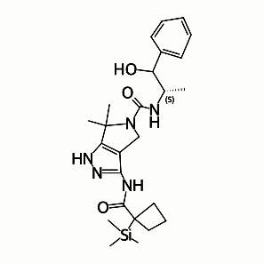 C[C@H](NC(=O)N1Cc2c(NC(=O)C3([Si](C)(C)C)CCC3)n[nH]c2C1(C)C)C(O)c1ccccc1